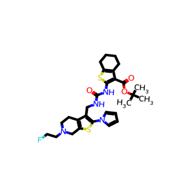 CC(C)(C)OC(=O)c1c(NC(=O)NCc2c(-n3cccc3)sc3c2CCN(CCF)C3)sc2c1CCCC2